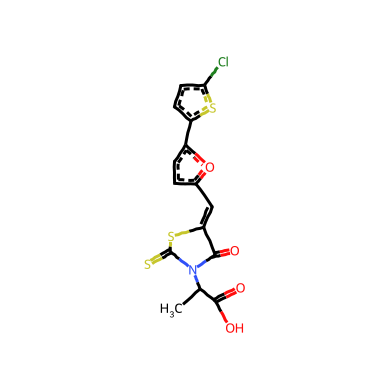 CC(C(=O)O)N1C(=O)C(=Cc2ccc(-c3ccc(Cl)s3)o2)SC1=S